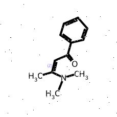 C/C(=C/C(=O)c1ccccc1)N(C)C